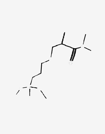 CO[Si](C)(CCCSCC(C)C(=O)N(C)C)OC